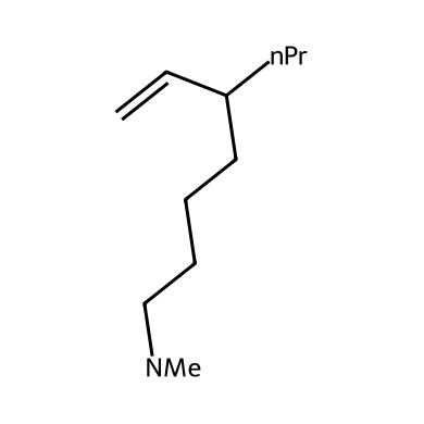 C=CC(CCC)CCCCNC